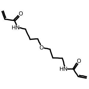 C=CC(=O)NCCCOCCCNC(=O)C=C